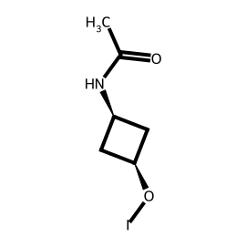 CC(=O)N[C@H]1C[C@@H](OI)C1